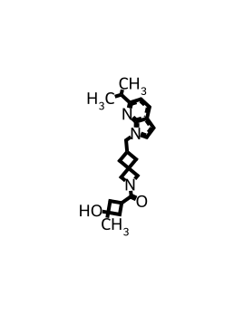 CC(C)c1ccc2ccn(CC3CC4(C3)CN(C(=O)C3CC(C)(O)C3)C4)c2n1